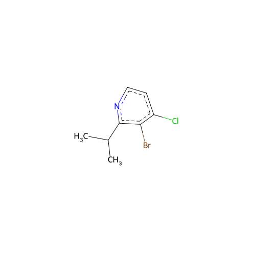 CC(C)c1nccc(Cl)c1Br